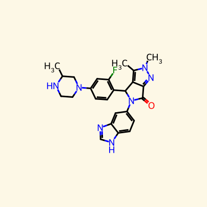 Cc1c2c(nn1C)C(=O)N(c1ccc3[nH]cnc3c1)C2c1ccc(N2CCNC(C)C2)cc1F